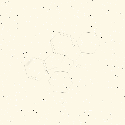 COC1(P(=O)(C2CCCCC2)C2CCCCC2)CC=CC=C1c1ccccc1